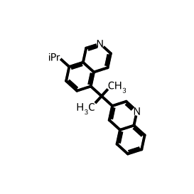 CC(C)c1ccc(C(C)(C)c2cnc3ccccc3c2)c2ccncc12